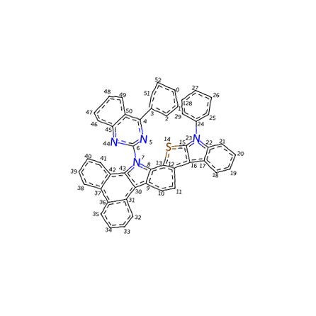 c1ccc(-c2nc(-n3c4c(ccc5c4sc4c5c5ccccc5n4-c4ccccc4)c4c5ccccc5c5ccccc5c43)nc3ccccc23)cc1